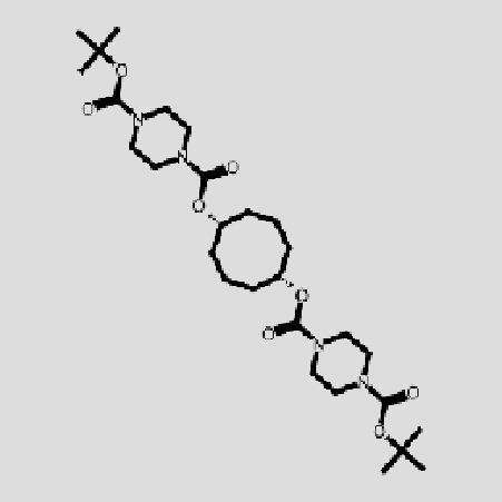 CC(C)(C)OC(=O)N1CCN(C(=O)O[C@H]2CCC[C@@H](OC(=O)N3CCN(C(=O)OC(C)(C)C)CC3)CCC2)CC1